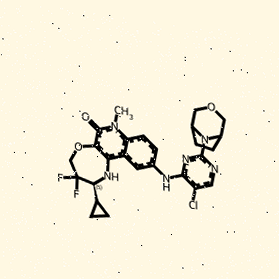 Cn1c(=O)c2c(c3cc(Nc4nc(N5C6CCC5COC6)ncc4Cl)ccc31)N[C@@H](C1CC1)C(F)(F)CO2